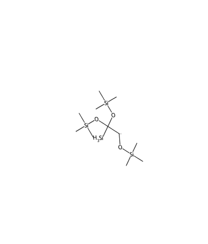 C[Si](C)(C)O[CH]C([SiH3])(O[Si](C)(C)C)O[Si](C)(C)C